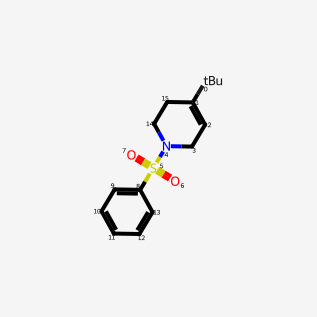 CC(C)(C)C1=CCN(S(=O)(=O)c2ccccc2)CC1